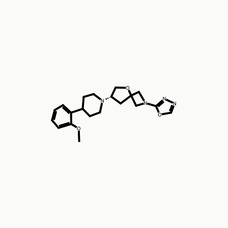 COc1ccccc1C1CCN([C@@H]2COC3(C2)CN(c2nnco2)C3)CC1